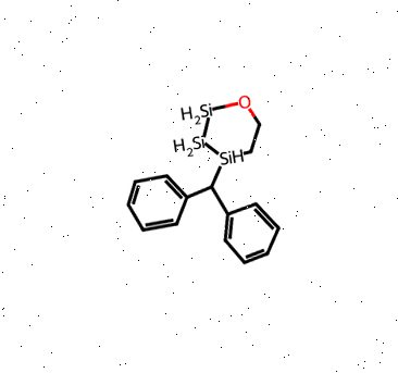 c1ccc(C(c2ccccc2)[SiH]2CCO[SiH2][SiH2]2)cc1